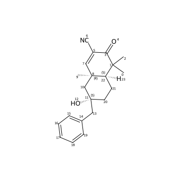 CC1(C)C(=O)C(C#N)=C[C@]2(C)C[C@](O)(Cc3ccccc3)CC[C@H]12